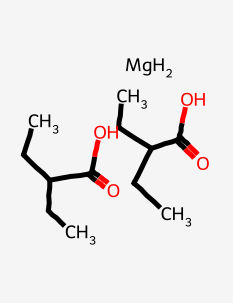 CCC(CC)C(=O)O.CCC(CC)C(=O)O.[MgH2]